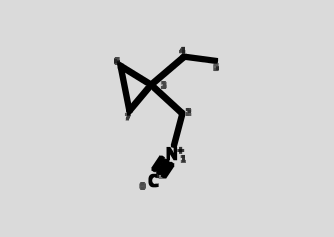 [C-]#[N+]CC1(CC)CC1